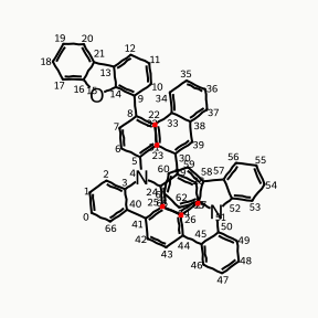 c1ccc(N(c2ccc(-c3cccc4c3oc3ccccc34)cc2)c2ccccc2-c2ccc3ccccc3c2)c(-c2ccc(-c3ccccc3-n3c4ccccc4c4ccccc43)cc2)c1